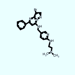 CN(C)CCNc1ccc(CNc2cc(-c3ccccc3)nc3c(Br)cnn23)cn1